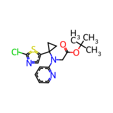 CC(C)(C)OC(=O)CN(c1ccccn1)C1(c2cnc(Cl)s2)CC1